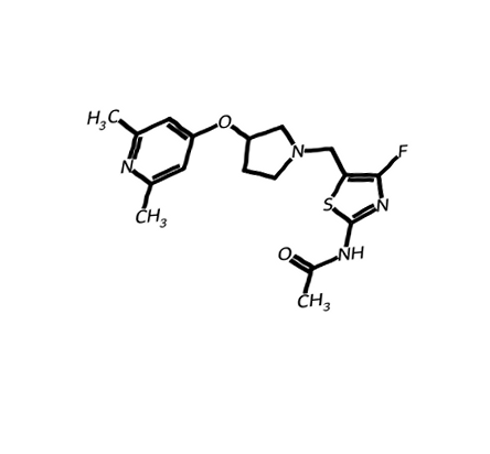 CC(=O)Nc1nc(F)c(CN2CCC(Oc3cc(C)nc(C)c3)C2)s1